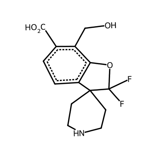 O=C(O)c1ccc2c(c1CO)OC(F)(F)C21CCNCC1